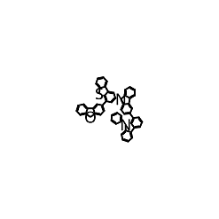 c1ccc(-n2c3ccccc3c3cccc(-c4ccc5c(c4)c4ccccc4n5-c4cc(-c5ccc6oc7ccccc7c6c5)c5sc6ccccc6c5c4)c32)cc1